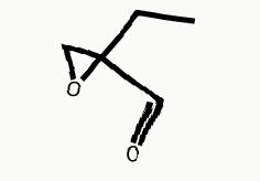 CCC1(C=O)CO1